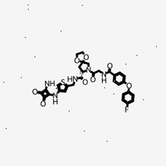 Nc1c(Nc2csc(CNC(=O)[C@@H]3CC4(CN3C(=O)CNC(=O)c3ccc(Oc5ccc(F)cc5)cc3)OCCO4)c2)c(=O)c1=O